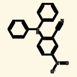 N#Cc1cc([N+](=O)[O-])ccc1[SH](c1ccccc1)c1ccccc1